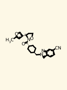 Cc1cc([C@@H]2CCON2C(=O)[C@H]2CC[C@H](Cn3cc4ccc(C#N)cc4n3)CC2)co1